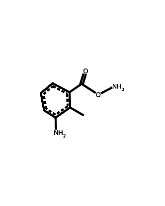 Cc1c(N)cccc1C(=O)ON